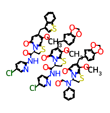 COc1c(Cc2ccc3c(c2)OCO3)cc(=O)n2c1SC[C@@H]2N(C=O)c1ccccc1.COc1c(Cc2ccc3c(c2)OCO3)cc(=O)n2c1SC[C@H]2C(=O)Nc1ccc(Cl)cn1.COc1c(Cc2csc3ccccc23)cc(=O)n2c1SC[C@H]2C(=O)Nc1ccc(Cl)cn1